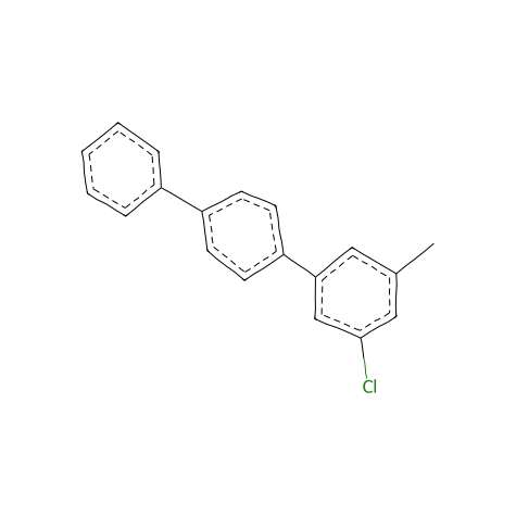 Cc1cc(Cl)cc(-c2ccc(-c3ccccc3)cc2)c1